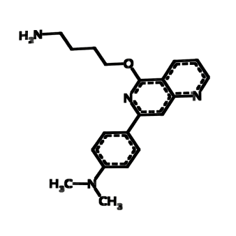 CN(C)c1ccc(-c2cc3ncccc3c(OCCCCN)n2)cc1